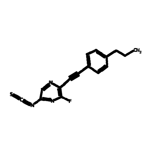 CCCc1ccc(C#Cc2ncc(N=C=S)nc2F)cc1